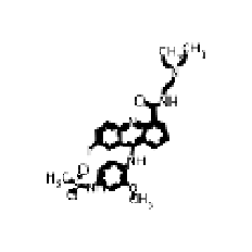 CCN(CC)CCNC(=O)c1cccc2c(Nc3ccc(NS(C)(=O)=O)cc3OC)c3cc(I)ccc3nc12